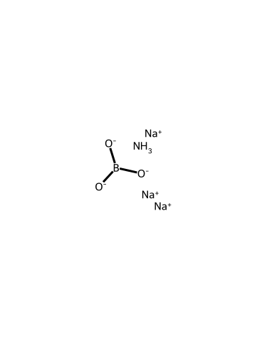 N.[Na+].[Na+].[Na+].[O-]B([O-])[O-]